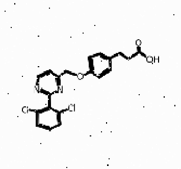 O=C(O)CCc1ccc(OCc2ccnc(-c3c(Cl)cccc3Cl)n2)cc1